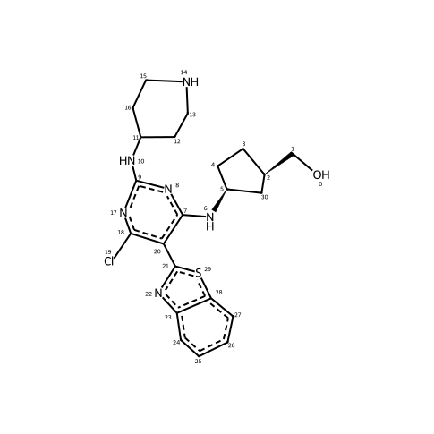 OC[C@@H]1CC[C@H](Nc2nc(NC3CCNCC3)nc(Cl)c2-c2nc3ccccc3s2)C1